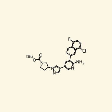 CC(C)(C)OC(=O)N1CCC(n2cc(-c3cnc(N)c(-c4cc5c(Cl)ccc(F)c5cn4)c3)cn2)C1